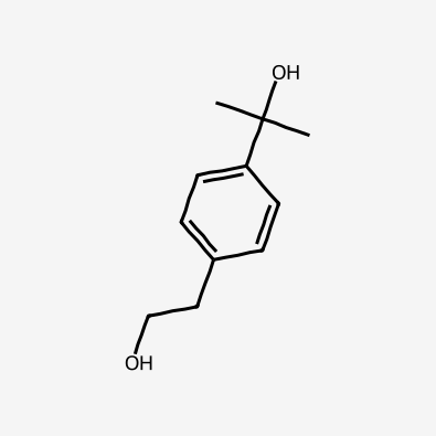 CC(C)(O)c1ccc(CCO)cc1